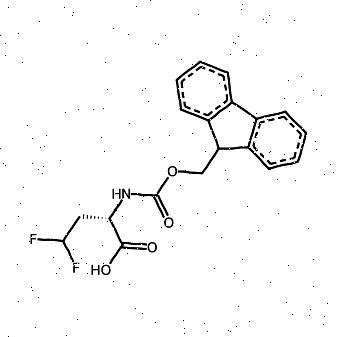 O=C(N[C@@H](CC(F)F)C(=O)O)OCC1c2ccccc2-c2ccccc21